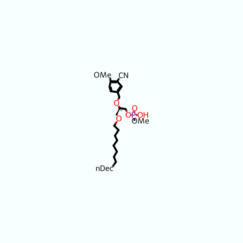 CCCCCCCCCCCCCCCCCCOC[C@H](COP(=O)(O)OC)OCc1ccc(OC)c(C#N)c1